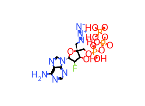 [N-]=[N+]=NC[C@]1(COP(=O)(O)OP(=O)(O)OP(=O)(O)O)O[C@@H](n2cnc3c(N)ncnc32)[C@H](F)[C@@H]1O